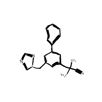 CC(C)(C#N)c1cc(Cn2cncn2)cc(-c2ccccc2)c1